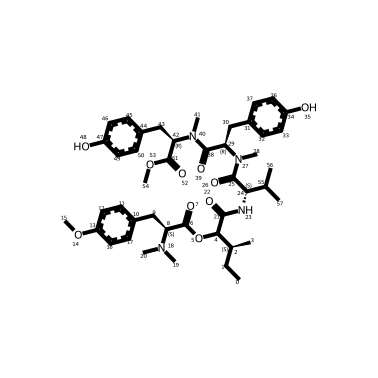 CC[C@H](C)C(OC(=O)[C@H](Cc1ccc(OC)cc1)N(C)C)C(=O)N[C@H](C(=O)N(C)[C@H](Cc1ccc(O)cc1)C(=O)N(C)[C@H](Cc1ccc(O)cc1)C(=O)OC)C(C)C